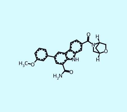 COc1cccc(-c2cc(C(N)=O)c3[nH]c4cc(C(=O)N5C[C@@H]6C[C@H]5CO6)ccc4c3c2)c1